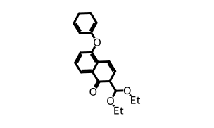 CCOC(OCC)C1C=Cc2c(OC3=CCCC=C3)cccc2C1=O